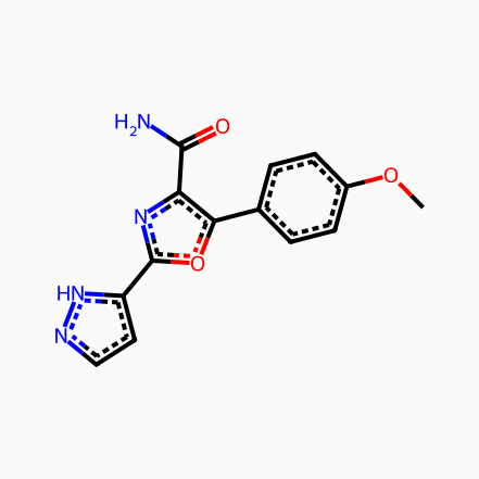 COc1ccc(-c2oc(-c3ccn[nH]3)nc2C(N)=O)cc1